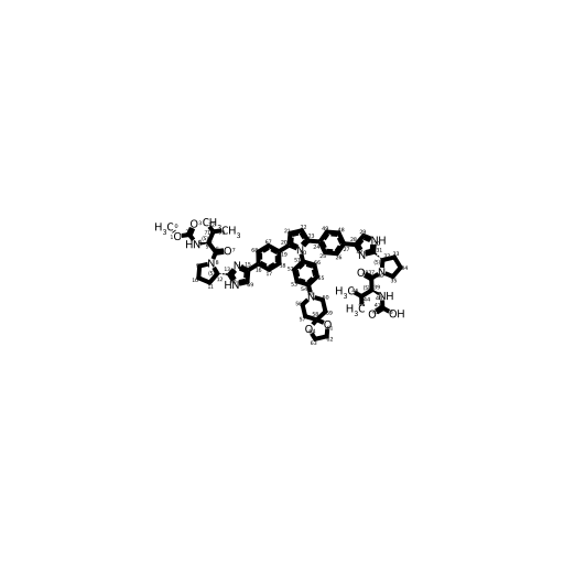 COC(=O)N[C@H](C(=O)N1CCC[C@H]1c1nc(-c2ccc(-c3ccc(-c4ccc(-c5c[nH]c([C@@H]6CCCN6C(=O)[C@@H](NC(=O)O)C(C)C)n5)cc4)n3-c3ccc(N4CCC5(CC4)OCCO5)cc3)cc2)c[nH]1)C(C)C